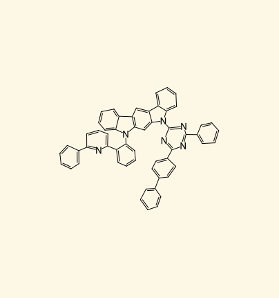 c1ccc(-c2ccc(-c3nc(-c4ccccc4)nc(-n4c5ccccc5c5cc6c7ccccc7n(-c7ccccc7-c7cccc(-c8ccccc8)n7)c6cc54)n3)cc2)cc1